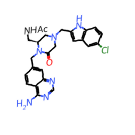 CC(=O)NC[C@H]1CN(Cc2cc3cc(Cl)ccc3[nH]2)CC(=O)N1Cc1ccc2c(N)ncnc2c1